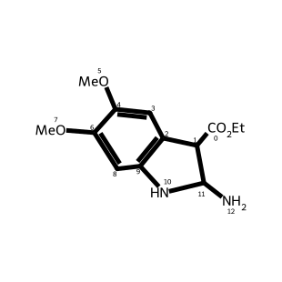 CCOC(=O)C1c2cc(OC)c(OC)cc2NC1N